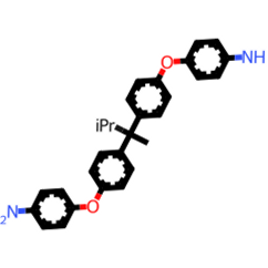 CC(C)C(C)(c1ccc(Oc2ccc(N)cc2)cc1)c1ccc(Oc2ccc(N)cc2)cc1